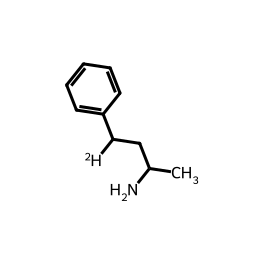 [2H]C(CC(C)N)c1ccccc1